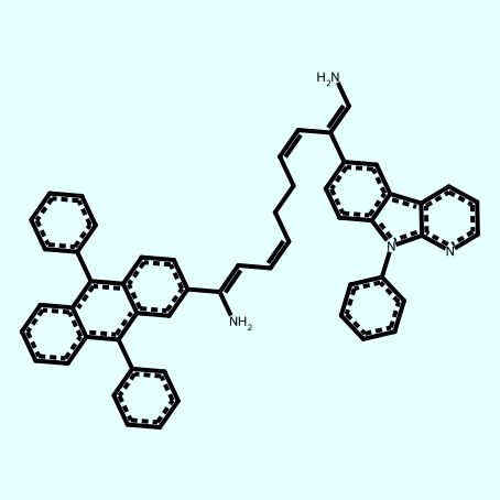 N/C=C(\C=C/CC/C=C\C=C(/N)c1ccc2c(-c3ccccc3)c3ccccc3c(-c3ccccc3)c2c1)c1ccc2c(c1)c1cccnc1n2-c1ccccc1